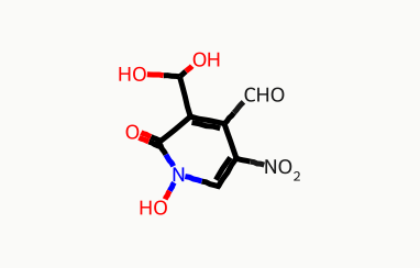 O=Cc1c([N+](=O)[O-])cn(O)c(=O)c1C(O)O